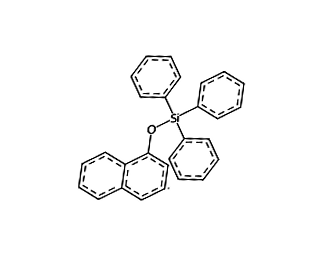 [c]1cc(O[Si](c2ccccc2)(c2ccccc2)c2ccccc2)c2ccccc2c1